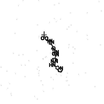 CC(C)(C)C(=O)OCn1cc(C2CN(c3nnc(-c4cnc(NC5Cc6cccnc6C5)nc4)o3)C2)nn1